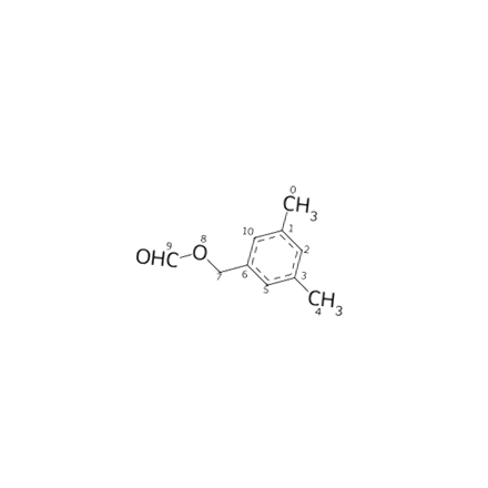 Cc1cc(C)cc(COC=O)c1